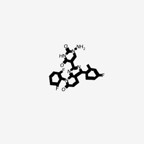 Cc1cc(F)ccc1-c1nc(-c2cn(N)c(=O)[nH]c2=O)nc2c1ccc(=O)n2-c1c(F)cccc1F